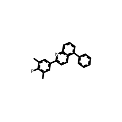 Cc1cc(-c2ccc3c(-c4ccccc4)cccc3n2)cc(C)c1F